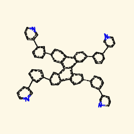 c1cncc(-c2cccc(-c3ccc4c5ccc(-c6cccc(-c7cccnc7)c6)cc5c5c6cc(-c7cccc(-c8cccnc8)c7)ccc6c6ccc(-c7cccc(-c8cccnc8)c7)cc6c5c4c3)c2)c1